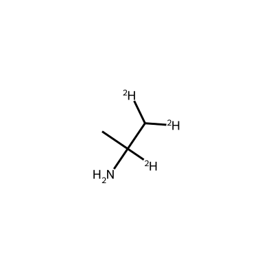 [2H]C([2H])C([2H])(C)N